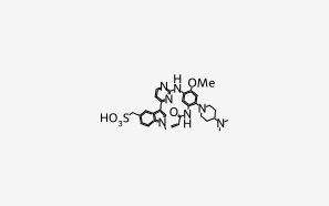 C=CC(=O)Nc1cc(Nc2nccc(-c3cn(C)c4ccc(CS(=O)(=O)O)cc34)n2)c(OC)cc1N1CCC(N(C)C)CC1